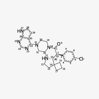 O=C([C@@H](c1ccc(Cl)cc1)[C@H]1NCCC12CCC2)N1CCN(c2ncnc3[nH]ccc23)CC1